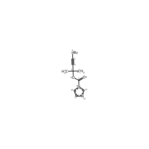 CCCCC#CC(C)(C)OC(=O)n1ccnc1